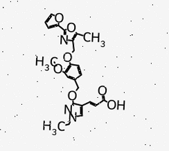 CCn1cc(C=CC(=O)O)c(OCc2ccc(OCc3nc(-c4ccco4)oc3C)c(OC)c2)n1